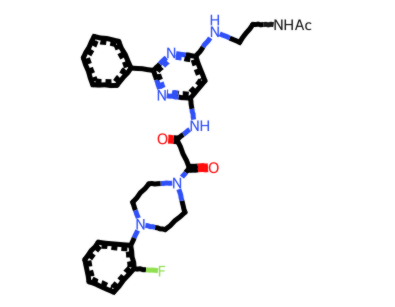 CC(=O)NCCNc1cc(NC(=O)C(=O)N2CCN(c3ccccc3F)CC2)nc(-c2ccccc2)n1